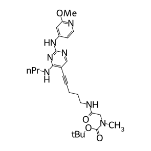 CCCNc1nc(Nc2ccnc(OC)c2)ncc1C#CCCCNC(=O)CN(C)C(=O)OC(C)(C)C